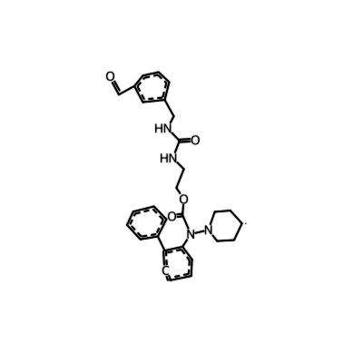 O=Cc1cccc(CNC(=O)NCCOC(=O)N(c2ccccc2-c2ccccc2)N2CC[CH]CC2)c1